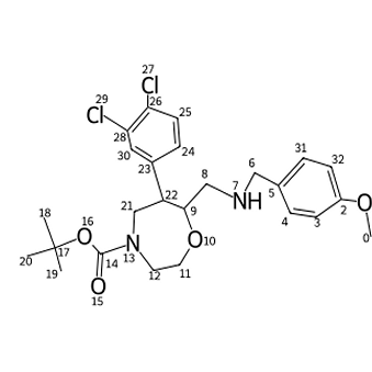 COc1ccc(CNCC2OCCN(C(=O)OC(C)(C)C)CC2c2ccc(Cl)c(Cl)c2)cc1